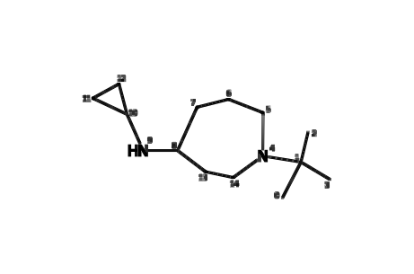 CC(C)(C)N1CCCC(NC2CC2)CC1